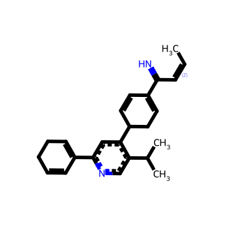 C/C=C\C(=N)C1=CCC(c2cc(C3=CCCC=C3)ncc2C(C)C)C=C1